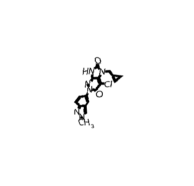 Cn1cc2cc(-n3nc4[nH]c(=O)n(CC5CC5)c4c(Cl)c3=O)ccc2n1